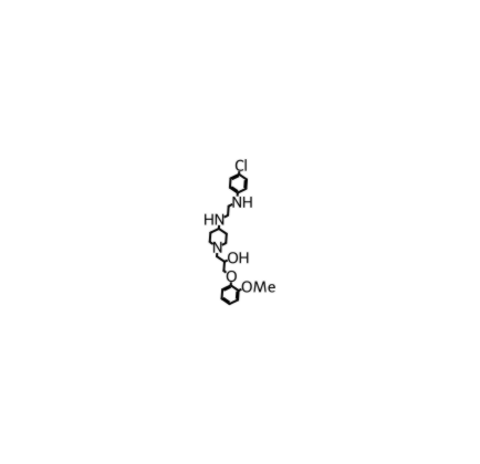 COc1ccccc1OCC(O)CN1CCC(NCCNc2ccc(Cl)cc2)CC1